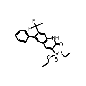 CCOP(=O)(OCC)c1cc2cc(-c3ccccc3)c(C(F)(F)F)cc2[nH]c1=O